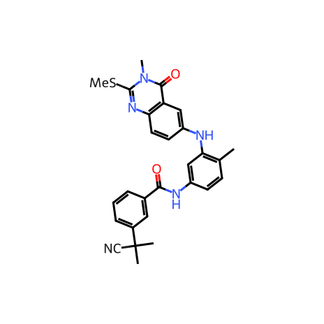 CSc1nc2ccc(Nc3cc(NC(=O)c4cccc(C(C)(C)C#N)c4)ccc3C)cc2c(=O)n1C